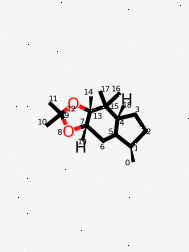 C[C@@H]1CC[C@@H]2C1C[C@@H]1OC(C)(C)O[C@]1(C)C2(C)C